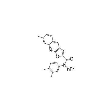 CCCN(C(=O)c1cc2cc3ccc(C)cc3nc2o1)c1ccc(C)c(C)c1